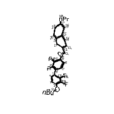 CCCCOc1ccc(-c2ccc(OCC3CCC4CC(CCC)CCC4C3)c(F)c2F)c(F)c1F